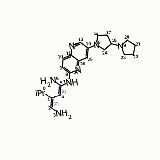 CC(C)C(=C/N)/C=C(\N)Nc1ccc2ncc(N3CCC(N4CCCC4)C3)cc2n1